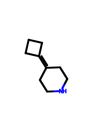 C1CC(=C2CCNCC2)C1